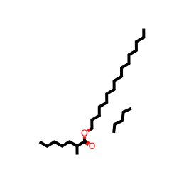 CCCCC.CCCCCCCCCCCCCCCCOC(=O)C(C)CCCCC